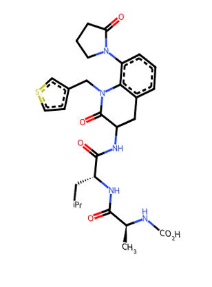 CC(C)C[C@@H](NC(=O)[C@H](C)NC(=O)O)C(=O)NC1Cc2cccc(N3CCCC3=O)c2N(Cc2ccsc2)C1=O